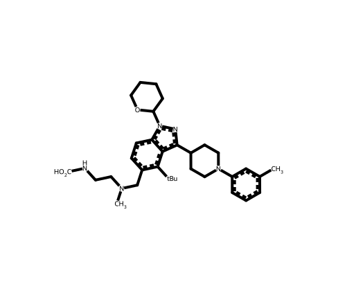 Cc1cccc(N2CCC(c3nn(C4CCCCO4)c4ccc(CN(C)CCNC(=O)O)c(C(C)(C)C)c34)CC2)c1